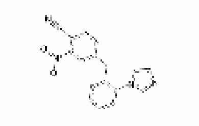 N#Cc1ccc(Cc2ccccc2-n2ccnc2)cc1[N+](=O)[O-]